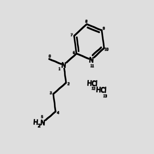 CN(CCCN)c1ccccn1.Cl.Cl